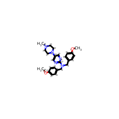 COc1ccc(CN(Cc2ccc(OC)cc2)c2ncc(N3CCN(C)CC3)cn2)cc1